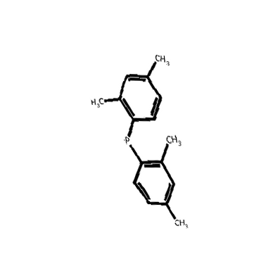 Cc1ccc([P]c2ccc(C)cc2C)c(C)c1